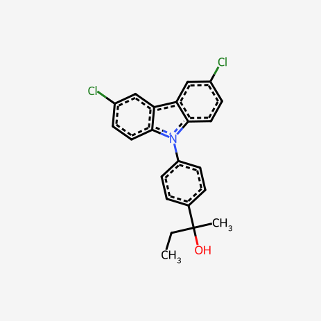 CCC(C)(O)c1ccc(-n2c3ccc(Cl)cc3c3cc(Cl)ccc32)cc1